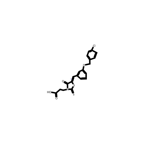 O=C(O)CCN1C(=O)/C(=C/c2cccc(OCc3ccc(Cl)cc3)c2)SC1=S